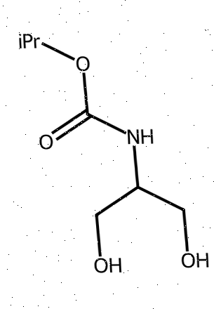 CC(C)OC(=O)NC(CO)CO